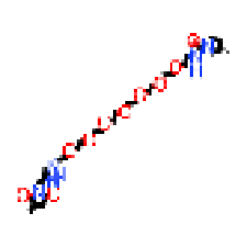 CC1=CC(=O)N(Cc2cn(CCOCCOCCOCCOCCOCCOCCOCCNC(=O)N3CC[C@H](C)C3)nn2)C1=O